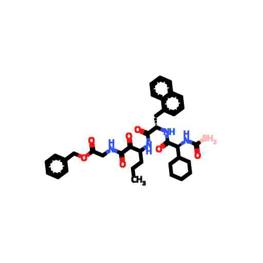 BC(=O)N[C@H](C(=O)N[C@@H](Cc1cccc2ccccc12)C(=O)NC(CCC)C(=O)C(=O)NCC(=O)OCc1ccccc1)C1CCCCC1